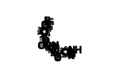 O=C(c1ccc2[nH]nnc2c1)N1C=C2CN(C(=O)OCc3ccc(OC(F)(F)F)cc3)C[C@@H]2C1